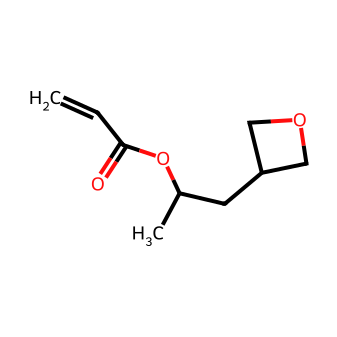 C=CC(=O)OC(C)CC1COC1